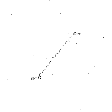 [CH2]CCCCCCCCCCCCCCCCCCCCCCCCCCCCCOCCC